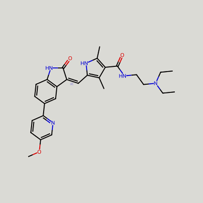 CCN(CC)CCNC(=O)c1c(C)[nH]c(/C=C2\C(=O)Nc3ccc(-c4ccc(OC)cn4)cc32)c1C